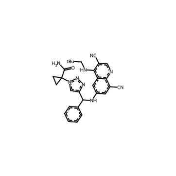 CC(C)(C)CNc1c(C#N)cnc2c(C#N)cc(NC(c3ccccc3)c3cn(C4(C(N)=O)CC4)nn3)cc12